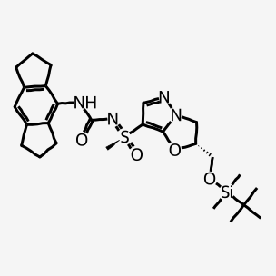 CC(C)(C)[Si](C)(C)OC[C@H]1Cn2ncc([S@](C)(=O)=NC(=O)Nc3c4c(cc5c3CCC5)CCC4)c2O1